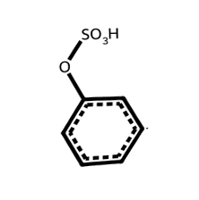 O=S(=O)(O)Oc1c[c]ccc1